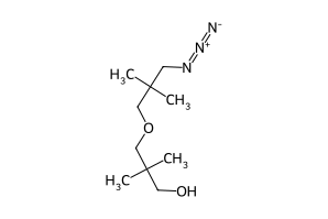 CC(C)(CO)COCC(C)(C)CN=[N+]=[N-]